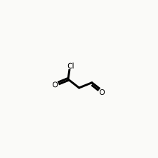 O=CCC(=O)Cl